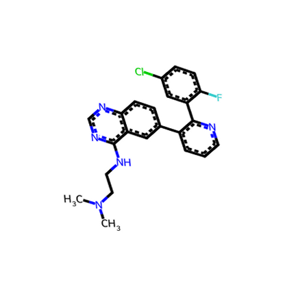 CN(C)CCNc1ncnc2ccc(-c3cccnc3-c3cc(Cl)ccc3F)cc12